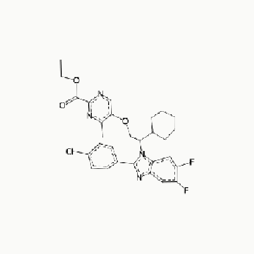 CCOC(=O)c1ncc(OCC(C2CCCCC2)n2c(-c3ccc(Cl)cc3)nc3cc(F)c(F)cc32)c(C)n1